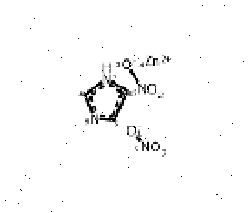 O=[N+]([O-])[O-].O=[N+]([O-])[O-].[Zn+2].c1c[nH]cn1